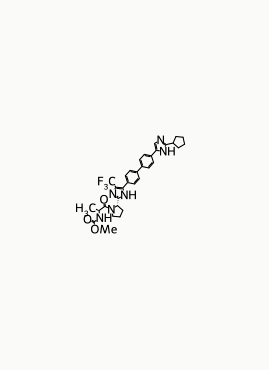 COC(=O)N[C@@H](C)C(=O)N1CCC[C@H]1c1nc(C(F)(F)F)c(-c2ccc(-c3ccc(-c4cnc(C5CCCC5)[nH]4)cc3)cc2)[nH]1